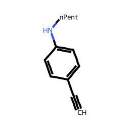 C#Cc1ccc(NCCCCC)cc1